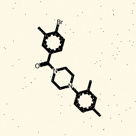 Cc1ccc(N2CCN(C(=O)c3ccc(Br)c(C)c3)CC2)c(C)c1